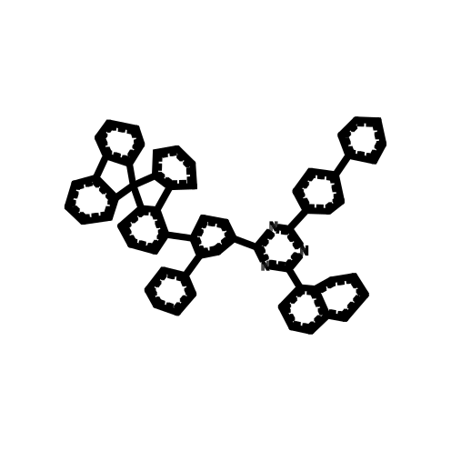 c1ccc(-c2ccc(-c3nc(-c4ccc(-c5cccc6c5-c5ccccc5C65c6ccccc6-c6ccccc65)c(-c5ccccc5)c4)nc(-c4cccc5ccccc45)n3)cc2)cc1